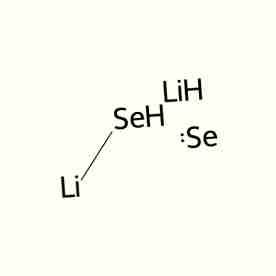 [LiH].[Li][SeH].[Se]